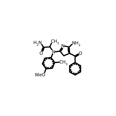 COc1ccc(N(C2=NC(N)=C(C(=O)c3ccccc3)C2)C(C)C(N)=O)c(C)c1